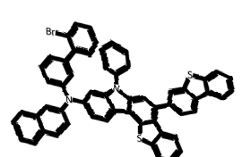 Brc1ccccc1-c1cccc(N(c2ccc3ccccc3c2)c2ccc3c4c5sc6ccccc6c5c(-c5ccc6c(c5)sc5ccccc56)cc4n(-c4ccccc4)c3c2)c1